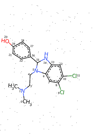 CN(C)CCN1c2cc(Cl)c(Cl)cc2NC1c1ccc(O)cc1